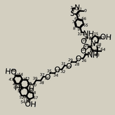 Cc1ncsc1-c1ccc(CNC(=O)[C@@H]2C[C@@H](O)CN2C(=O)[C@@H](NC(=O)COCCOCCOCCOCCCC[C@@H]2Cc3cc(O)ccc3[C@H]3CC[C@]4(C)[C@@H](O)CC[C@H]4C23)C(C)(C)C)cc1